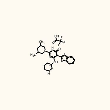 CC1CC(C)CN(c2nc(N[C@@H]3CCCNC3)c(-c3nc4ccccc4s3)c(=O)[nH]2)C1.O=C(O)C(F)(F)F